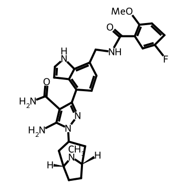 COc1ccc(F)cc1C(=O)NCc1ccc(-c2nn(C3C[C@H]4CC[C@@H](C3)N4C)c(N)c2C(N)=O)c2cc[nH]c12